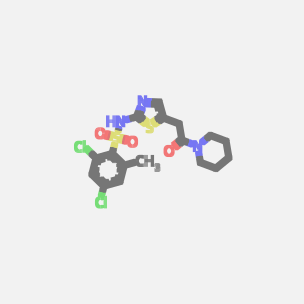 Cc1cc(Cl)cc(Cl)c1S(=O)(=O)Nc1ncc(CC(=O)N2CCCCC2)s1